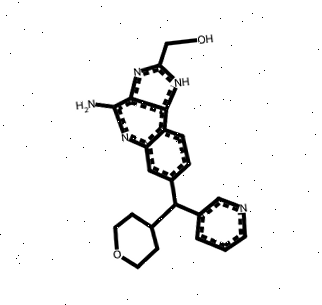 Nc1nc2cc(C(c3cccnc3)C3CCOCC3)ccc2c2[nH]c(CO)nc12